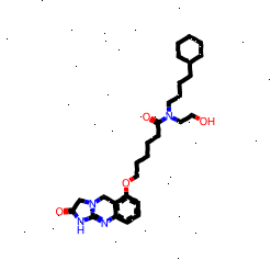 O=C1CN2Cc3c(cccc3OCCCCCC(=O)N(CCO)CCCCC3CCCCC3)N=C2N1